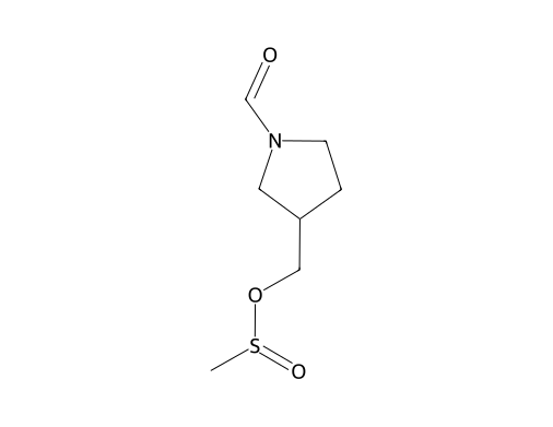 CS(=O)OCC1CCN(C=O)C1